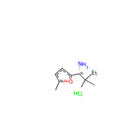 CCC(C)(C)[C@@H](N)c1ccc(C)o1.Cl